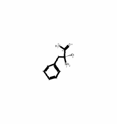 CC[C@](N)(Cc1ccccc1)C(N)=O